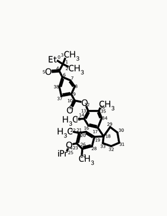 CCC(C)(C)C(=O)c1ccc(C(=O)Oc2c(C)cc(C3(c4cc(C)c(OC(C)C)c(C)c4)CCCCC3)cc2C)cc1